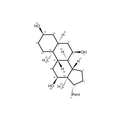 CCCC(C)[C@H]1CC[C@H]2[C@@H]3[C@H](O)C[C@@H]4C[C@H](O)CC[C@]4(C)[C@H]3C[C@H](O)[C@]12C